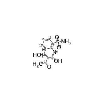 CC(=O)c1c(O)nc2c(S(N)(=O)=O)cccc2c1O